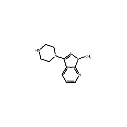 Cn1nc(N2CCNCC2)c2cccnc21